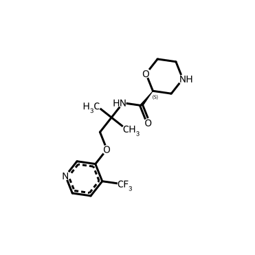 CC(C)(COc1cnccc1C(F)(F)F)NC(=O)[C@@H]1CNCCO1